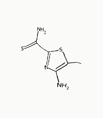 Cc1sc(C(N)=S)nc1N